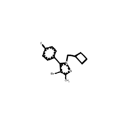 Cc1nn(CC2CCC2)c(-c2ccc(F)cc2)c1Br